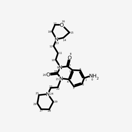 Nc1ccc2c(c1)c(=O)n(CCCN1CCOCC1)c(=O)n2CCN1CCCCC1